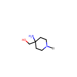 CCN1CCC(N)(CO)CC1